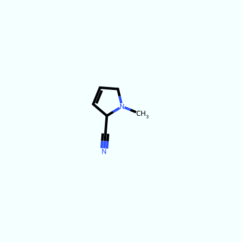 CN1CC=CC1C#N